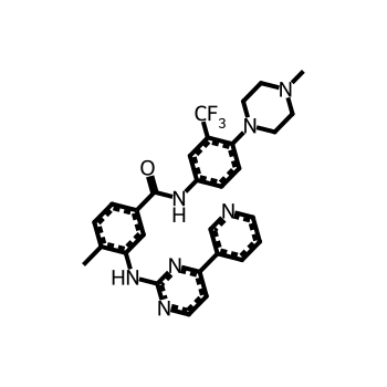 Cc1ccc(C(=O)Nc2ccc(N3CCN(C)CC3)c(C(F)(F)F)c2)cc1Nc1nccc(-c2cccnc2)n1